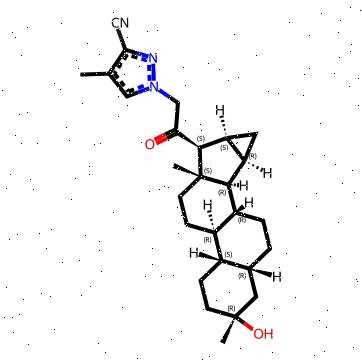 Cc1cn(CC(=O)[C@H]2[C@H]3C[C@H]3[C@H]3[C@@H]4CC[C@@H]5C[C@](C)(O)CC[C@@H]5[C@H]4CC[C@@]32C)nc1C#N